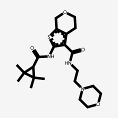 CC1(C)C(C(=O)Nc2sc3c(c2C(=O)NCCN2CCOCC2)CCOC3)C1(C)C